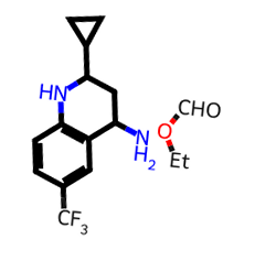 CCOC=O.NC1CC(C2CC2)Nc2ccc(C(F)(F)F)cc21